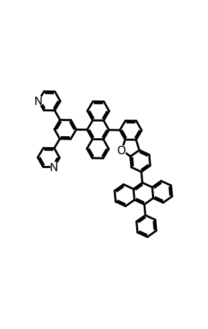 c1ccc(-c2c3ccccc3c(-c3ccc4c(c3)oc3c(-c5c6ccccc6c(-c6cc(-c7cccnc7)cc(-c7cccnc7)c6)c6ccccc56)cccc34)c3ccccc23)cc1